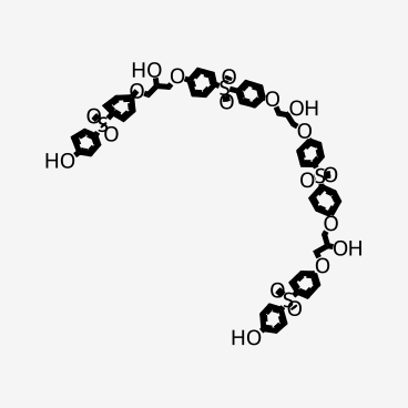 O=S(=O)(c1ccc(O)cc1)c1ccc(OCC(O)COc2ccc(S(=O)(=O)c3ccc(OCC(O)COc4ccc(S(=O)(=O)c5ccc(OCC(O)COc6ccc(S(=O)(=O)c7ccc(O)cc7)cc6)cc5)cc4)cc3)cc2)cc1